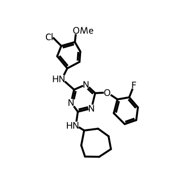 COc1ccc(Nc2nc(NC3CCCCCC3)nc(Oc3ccccc3F)n2)cc1Cl